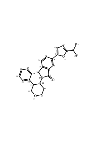 O=C1c2cc(-c3nnc(C(F)F)o3)ccc2CN1N1CCOCC1c1ccccc1